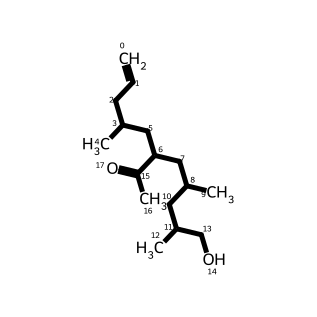 C=CCC(C)CC(CC(C)CC(C)CO)C(C)=O